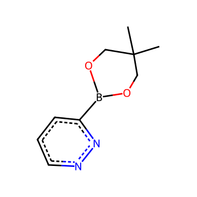 CC1(C)COB(c2cccnn2)OC1